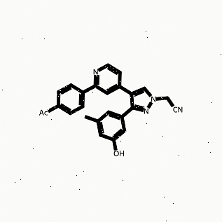 CC(=O)c1ccc(-c2cc(-c3cn(CC#N)nc3-c3cc(C)cc(O)c3)ccn2)cc1